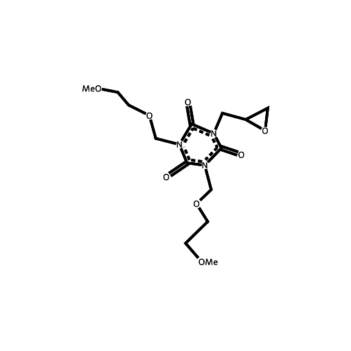 COCCOCn1c(=O)n(COCCOC)c(=O)n(CC2CO2)c1=O